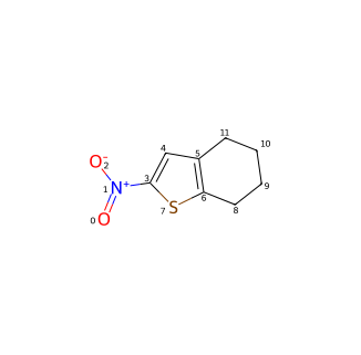 O=[N+]([O-])c1cc2c(s1)CCCC2